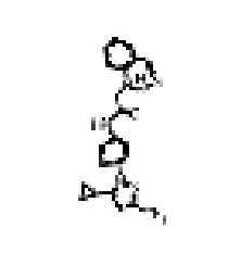 O=C(CN1NN=Cc2ccccc21)Nc1ccc(-n2nc(C(F)(F)F)cc2C2CC2)cc1